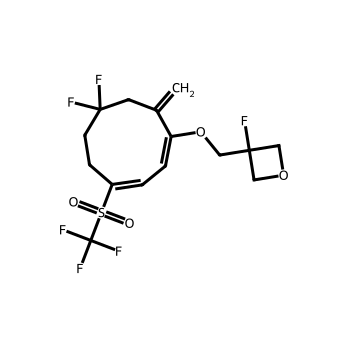 C=C1CC(F)(F)CC/C(S(=O)(=O)C(F)(F)F)=C\C=C/1OCC1(F)COC1